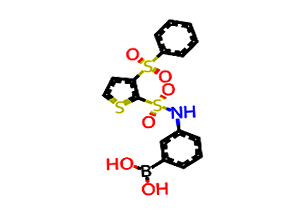 O=S(=O)(Nc1cccc(B(O)O)c1)c1sccc1S(=O)(=O)c1ccccc1